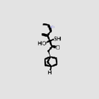 C=C(/C=C\C)C(O)(S)C(=O)C[C@]12CC[C@H](CC1)C2